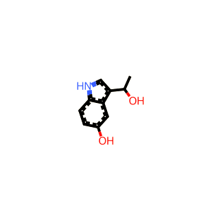 CC(O)c1c[nH]c2ccc(O)cc12